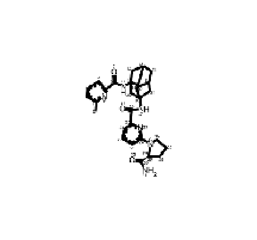 Cc1cccc(C(=O)NC23CC4CC(C2)CC(NC(=O)c2cccc(N5CCC[C@H]5C(N)=O)n2)(C4)C3)n1